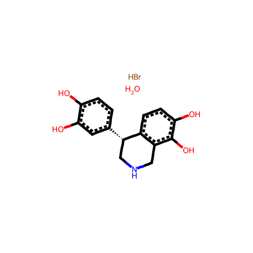 Br.O.Oc1ccc([C@H]2CNCc3c2ccc(O)c3O)cc1O